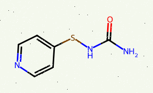 NC(=O)NSc1ccncc1